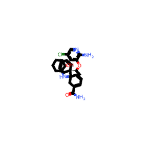 CC(Oc1cc(Cl)cnc1N)[C@@]1(C2(NC3CCCCC3O)C=CC=C(C(N)=O)C2)C=CC=CC1